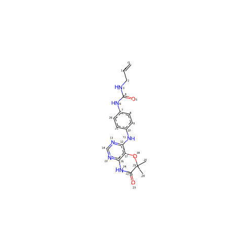 C=CCNC(=O)Nc1ccc(Nc2ncnc3c2OC(C)(C)C(=O)N3)cc1